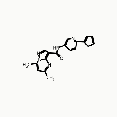 Cc1cc(C)n2ncc(C(=O)Nc3ccc(-c4cccs4)nc3)c2n1